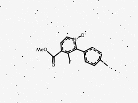 COC(=O)c1cc[n+]([O-])c(-c2ccc(C)cc2)c1F